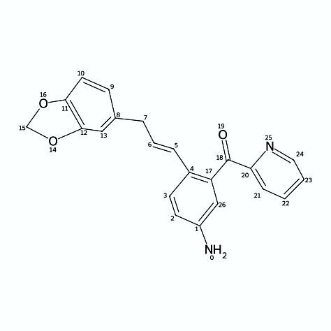 Nc1ccc(/C=C/Cc2ccc3c(c2)OCO3)c(C(=O)c2ccccn2)c1